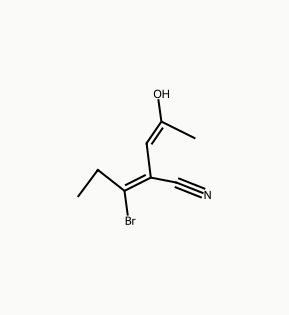 CC/C(Br)=C(C#N)\C=C(/C)O